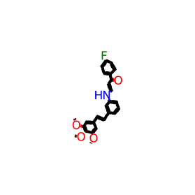 COc1cc(C=Cc2cccc(NC=CC(=O)c3ccc(F)cc3)c2)cc(OC)c1OC